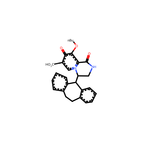 CCCCOc1c2n(cc(C(=O)O)c1=O)C(C1c3ccccc3CCc3ccccc31)CNC2=O